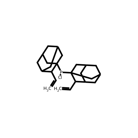 C=CC1C2CC3CC(C2)CC1(P(Cl)C12CC4CC(CC(C4)C1C=C)C2)C3